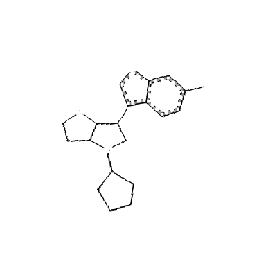 Fc1ccc2c(C3CN(C4CCCC4)C4CCNC34)c[nH]c2c1